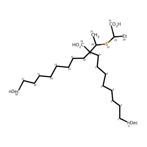 CCCCCCCCCCCCCCCCCCC(CCCCCCCCCCCCCCCCCC)(C(=O)O)C(C)SC(CC)C(=O)O